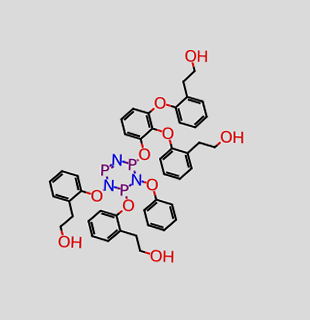 OCCc1ccccc1Oc1cccc(Op2npn(Oc3ccccc3CCO)p(Oc3ccccc3CCO)n2Oc2ccccc2)c1Oc1ccccc1CCO